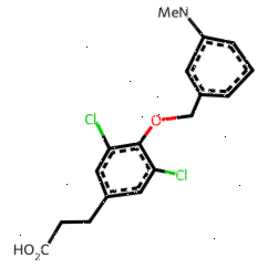 CNc1cccc(COc2c(Cl)cc(CCC(=O)O)cc2Cl)c1